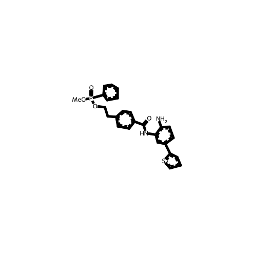 COP(=O)(OCCc1ccc(C(=O)Nc2cc(-c3cccs3)ccc2N)cc1)c1ccccc1